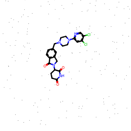 O=C1CCC(N2Cc3cc(CN4CCN(c5cc(Cl)c(Cl)cn5)CC4)ccc3C2=O)C(=O)N1